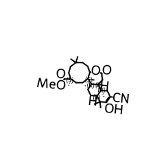 COC(=O)[C@@]1(C)CCC(C)(C)CCC2OC(=O)C[C@@H]3[C@@]4(C)CC(C#N)=C(O)C(C)(C)[C@@H]4CC[C@@]3(C)[C@]2(C)CC1